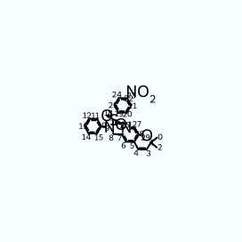 CC1(C)C=Cc2cc(CN(c3ccccc3)S(=O)(=O)c3ccc([N+](=O)[O-])cc3)ncc2O1